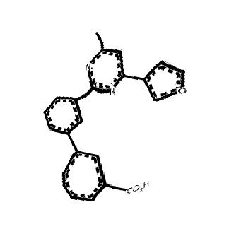 Cc1cc(-c2ccoc2)nc(-c2cccc(-c3cccc(C(=O)O)c3)c2)n1